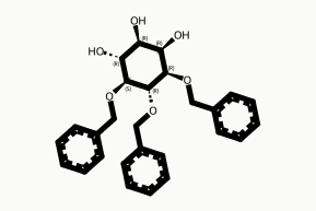 O[C@H]1[C@@H](O)[C@@H](OCc2ccccc2)[C@H](OCc2ccccc2)[C@@H](OCc2ccccc2)[C@@H]1O